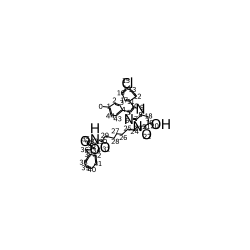 Cc1ccc(-c2nc3c(nc2-c2ccc(Cl)cc2)CC(O)C(=O)N3CCCCCCC(=O)NS(=O)(=O)Cc2ccccc2)cc1